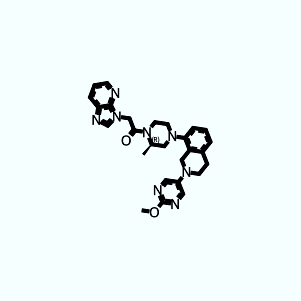 COc1ncc(N2CCc3cccc(N4CCN(C(=O)Cn5cnc6cccnc65)[C@H](C)C4)c3C2)cn1